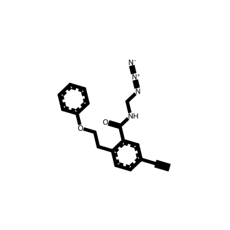 C#Cc1ccc(CCOc2ccccc2)c(C(=O)NCN=[N+]=[N-])c1